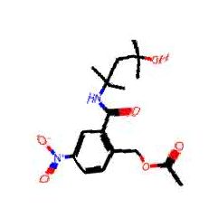 CC(=O)OCc1ccc([N+](=O)[O-])cc1C(=O)NC(C)(C)CC(C)(C)O